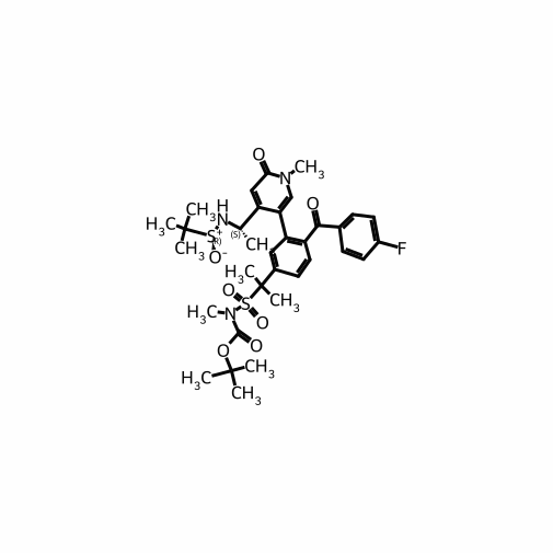 C[C@H](N[S@@+]([O-])C(C)(C)C)c1cc(=O)n(C)cc1-c1cc(C(C)(C)S(=O)(=O)N(C)C(=O)OC(C)(C)C)ccc1C(=O)c1ccc(F)cc1